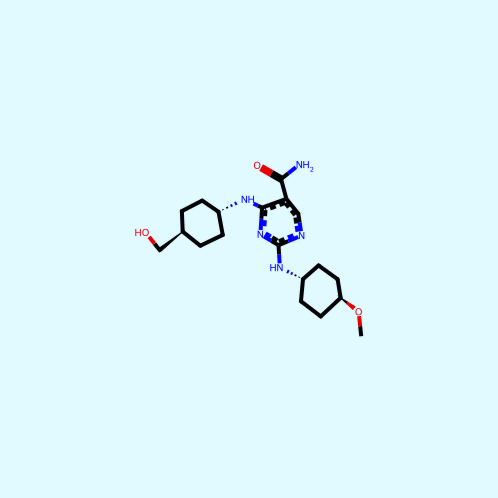 CO[C@H]1CC[C@H](Nc2ncc(C(N)=O)c(N[C@H]3CC[C@H](CO)CC3)n2)CC1